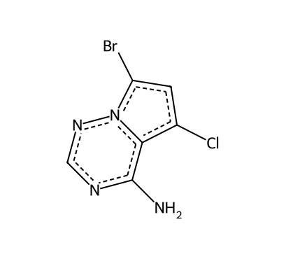 Nc1ncnn2c(Br)cc(Cl)c12